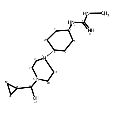 CNC(=N)N[C@H]1CC[C@H](N2CCN(C(O)C3CC3)CC2)CC1